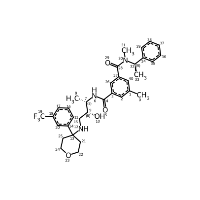 Cc1cc(C(=O)N[C@@H](C)[C@H](O)CNC2(c3cccc(C(F)(F)F)c3)CCOCC2)cc(C(=O)N(C)[C@H](C)c2ccccc2)c1